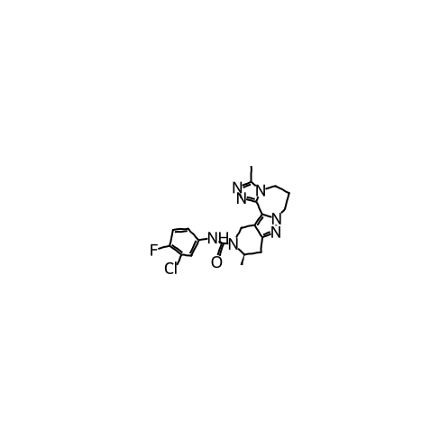 Cc1nnc2n1CCCn1nc3c(c1-2)CN(C(=O)Nc1ccc(F)c(Cl)c1)[C@H](C)C3